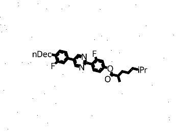 CCCCCCCCCCc1ccc(-c2cnc(-c3ccc(OC(=O)C(C)CCCC(C)C)cc3F)nc2)cc1F